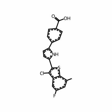 Cc1cc(F)cc2c(Cl)c(-c3ccc(-c4ccc(C(=O)O)cc4)[nH]3)sc12